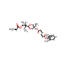 C=CC(=O)OCC(C)(C)C1OCC(CC)(COC(=O)/C=C\C=C/C(=O)OC2CC3CCC2(C)C3C)CO1